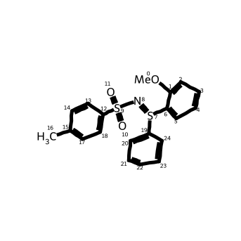 COc1ccccc1S(=NS(=O)(=O)c1ccc(C)cc1)c1ccccc1